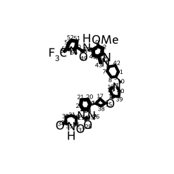 COc1cc2nn([C@H]3CC[C@H](CN4CCC(O[C@H]5C[C@H](c6cccc7c6n(C)c(=O)n7C6CCC(=O)NC6=O)C5)CC4)CC3)cc2cc1NC(=O)c1cccc(C(F)(F)F)n1